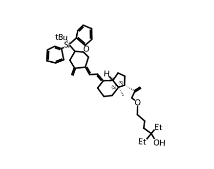 C=C1CC([Si](c2ccccc2)(c2ccccc2)C(C)(C)C)C(=O)CC1=CC=C1CCC[C@]2(C)[C@@H](C(=C)COCCCC(O)(CC)CC)CC[C@@H]12